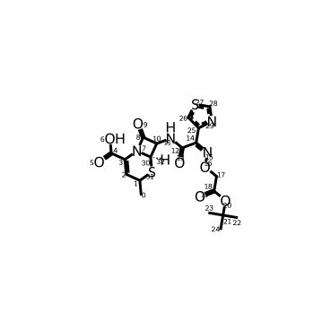 CC1C=C(C(=O)O)N2C(=O)C(NC(=O)/C(=N\OCC(=O)OC(C)(C)C)c3cscn3)[C@H]2S1